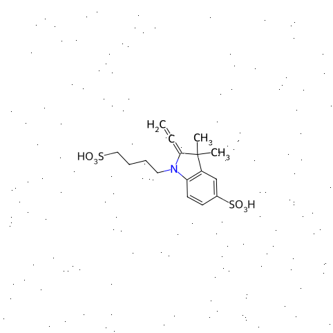 C=C=C1N(CCCCS(=O)(=O)O)c2ccc(S(=O)(=O)O)cc2C1(C)C